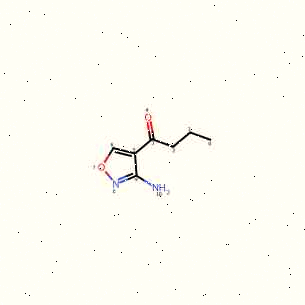 CCCC(=O)c1conc1N